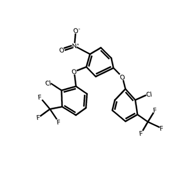 O=[N+]([O-])c1ccc(Oc2cccc(C(F)(F)F)c2Cl)cc1Oc1cccc(C(F)(F)F)c1Cl